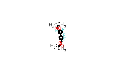 C=C(C)C(=O)OCc1ccc(-c2cc(F)c(OC(=O)C(=C)C)c(F)c2)c(F)c1F